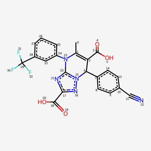 CC1=C(C(=O)O)C(c2ccc(C#N)cc2)n2nc(C(=O)O)nc2N1c1cccc(C(F)(F)F)c1